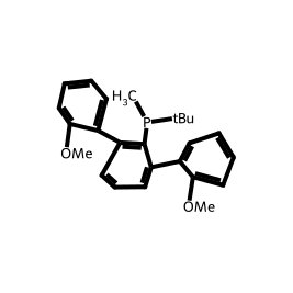 COc1ccccc1-c1cccc(-c2ccccc2OC)c1P(C)C(C)(C)C